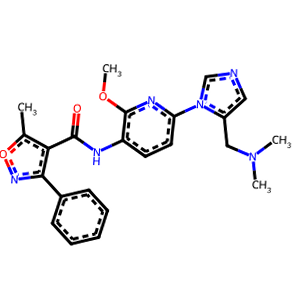 COc1nc(-n2cncc2CN(C)C)ccc1NC(=O)c1c(-c2ccccc2)noc1C